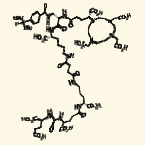 CC(C)(C)S(F)(c1ccc(C(=O)NC[C@H](NC(=O)CC[C@H](C(=O)O)N2CCN(CC(=O)O)CCN(CC(=O)O)CCN(CC(=O)O)CC2)C(=O)N[C@H](CCCCNC(=O)CCC(=O)NCCC[C@@H](NC(=O)CC[C@H](NC(=O)N[C@@H](CCC(=O)O)C(=O)O)C(=O)O)C(=O)O)C(=O)O)cc1)C(C)(C)C